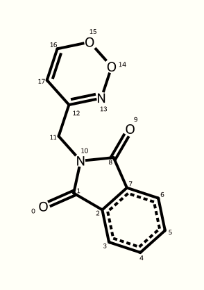 O=C1c2ccccc2C(=O)N1CC1=NOOC=C1